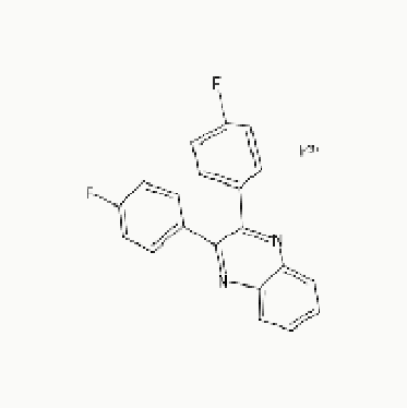 Fc1ccc(-c2nc3ccccc3nc2-c2ccc(F)cc2)cc1.[Ir+3]